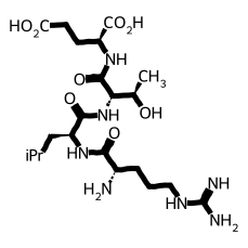 CC(C)C[C@H](NC(=O)[C@@H](N)CCCNC(=N)N)C(=O)N[C@H](C(=O)N[C@@H](CCC(=O)O)C(=O)O)[C@@H](C)O